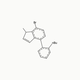 CCCCc1ccccc1-c1ccc(Br)c2c1C=CC2C